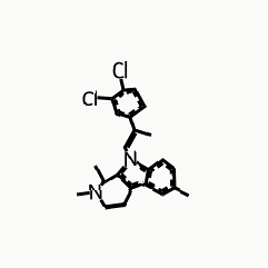 C/C(=C\n1c2c(c3cc(C)ccc31)CCN(C)C2C)c1ccc(Cl)c(Cl)c1